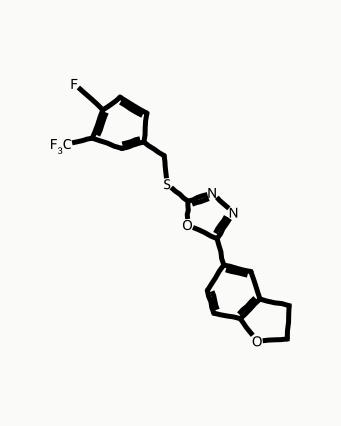 Fc1ccc(CSc2nnc(-c3ccc4c(c3)CCO4)o2)cc1C(F)(F)F